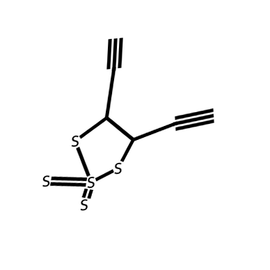 C#CC1SS(=S)(=S)SC1C#C